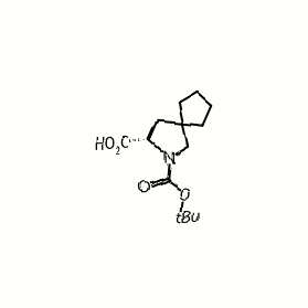 CC(C)(C)OC(=O)N1CC2(CCCC2)C[C@H]1C(=O)O